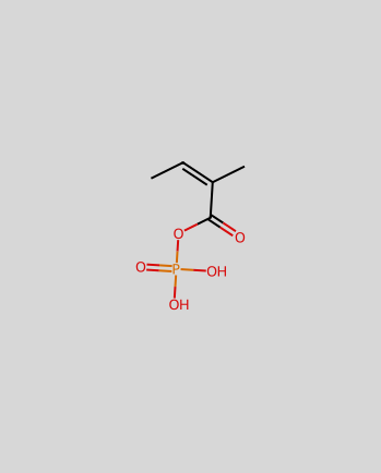 CC=C(C)C(=O)OP(=O)(O)O